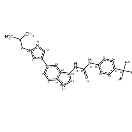 CC(C)Cn1cc(-c2ccc3[nH]cc(NC(=O)Nc4ccc(C(F)(F)F)cc4)c3c2)cn1